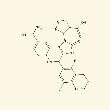 COc1cc(C(Nc2ccc(C(=N)N)cc2)c2nn(C3N=CSC3C(=O)O)c(=O)[nH]2)c(F)c2c1OCCC2